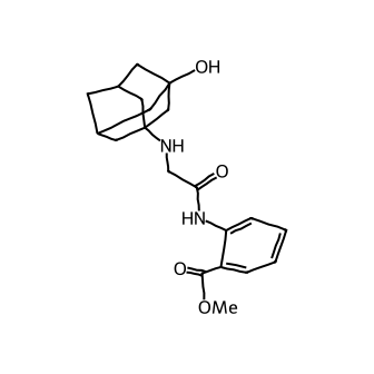 COC(=O)c1ccccc1NC(=O)CNC12CC3CC(CC(O)(C3)C1)C2